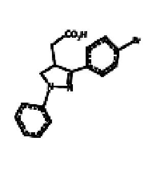 O=C(O)CC1CN(c2ccccc2)N=C1c1ccc(Br)cc1